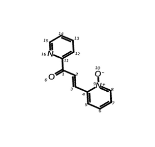 O=C(C=Cc1cccc[n+]1[O-])c1ccccn1